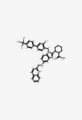 O=C(O)C1CCCCC1c1nc2cc(OCc3ccc4ccccc4n3)ccc2n1Cc1ccc(-c2ccc(C(F)(F)F)cc2)cc1F